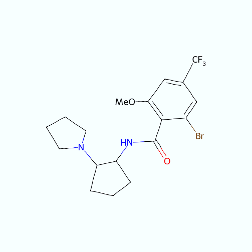 COc1cc(C(F)(F)F)cc(Br)c1C(=O)NC1CCCC1N1CCCC1